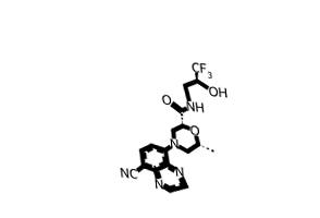 C[C@@H]1CN(c2ccc(C#N)c3nccnc23)C[C@H](C(=O)NC[C@H](O)C(F)(F)F)O1